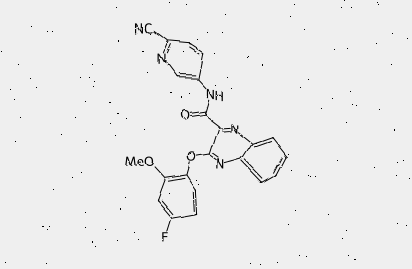 COc1cc(F)ccc1Oc1nc2ccccc2nc1C(=O)Nc1ccc(C#N)nc1